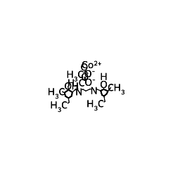 CC(=O)[O-].CC(=O)[O-].CCc1cc(C)c(O)c(C=NCCCN=Cc2cc(CC)cc(C)c2O)c1.[Co+2]